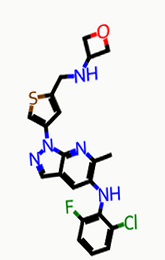 Cc1nc2c(cnn2-c2csc(CNC3COC3)c2)cc1Nc1c(F)cccc1Cl